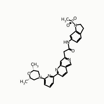 C[C@@H]1CN(c2cccc(-c3ccc4cnc(CC(=O)Nc5ccc6c(c5)N(S(C)(=O)=O)CC6)cc4n3)n2)C[C@H](C)O1